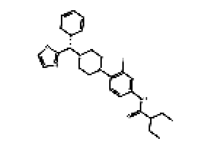 CCC(CC)C(=O)Nc1ccc(N2CCN([C@H](c3ncco3)C3C=CC=CC3)CC2)c(F)c1